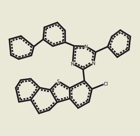 Clc1ccc2c(sc3c4ccccc4ccc23)c1-c1nc(-c2ccccc2)nc(-c2cccc(-c3ccccc3)c2)n1